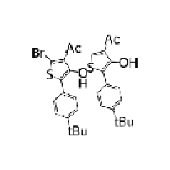 CC(=O)c1c(Br)sc(-c2ccc(C(C)(C)C)cc2)c1O.CC(=O)c1csc(-c2ccc(C(C)(C)C)cc2)c1O